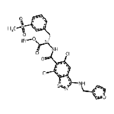 CC(C)OC(=O)[C@H](Cc1cccc(S(C)(=O)=O)c1)NC(=O)c1c(Cl)cc2c(NCc3ccoc3)nsc2c1Cl